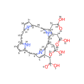 O=C(O)CC1=Cc2cc3ccc(cc4nc(cc5[nH]c(c(CC(=O)O)c1n2)c(CC(=O)O)c5CC(=O)O)C=C4)[nH]3